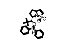 CC(C)(C)C(O[SiH](c1ccccc1)c1ccccc1)[C@@H]1CCC2C=CS(=O)(=O)N21